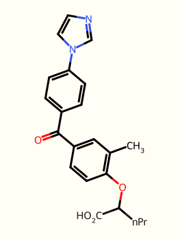 CCCC(Oc1ccc(C(=O)c2ccc(-n3ccnc3)cc2)cc1C)C(=O)O